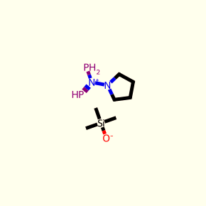 C[Si](C)(C)[O-].P=[N+](P)N1CCCC1